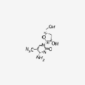 Cc1cn([C@@H]2O[C@H](CO)C[C@@H]2O)c(=O)nc1N